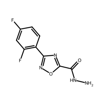 NNC(=O)c1nc(-c2ccc(F)cc2F)no1